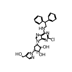 OCc1cnn([C@H]2C[C@H](n3cnc4c(NCC(c5ccccc5)c5ccccc5)nc(Cl)nc43)[C@H](O)[C@H]2O)c1